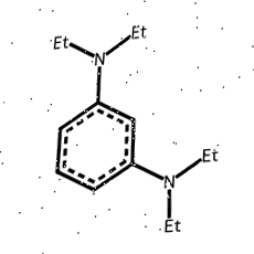 CCN(CC)c1[c]ccc(N(CC)CC)c1